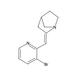 Brc1cccnc1C=C1CC2CCN1C2